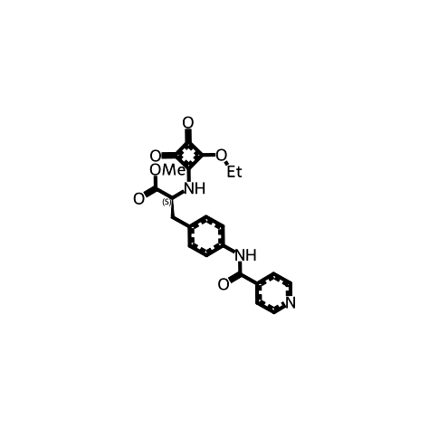 CCOc1c(N[C@@H](Cc2ccc(NC(=O)c3ccncc3)cc2)C(=O)OC)c(=O)c1=O